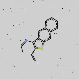 C=Cc1sc2cc3ccccc3cc2c1/N=C\C